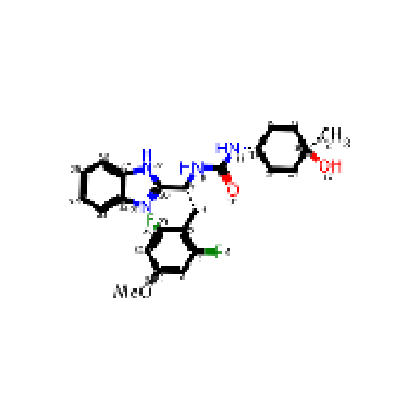 COc1cc(F)c(C[C@@H](NC(=O)N[C@H]2CC[C@](C)(O)CC2)c2nc3ccccc3[nH]2)c(F)c1